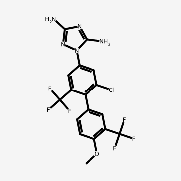 COc1ccc(-c2c(Cl)cc(-n3nc(N)nc3N)cc2C(F)(F)F)cc1C(F)(F)F